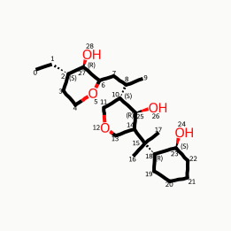 CC[C@H]1CCOC(CC(C)[C@H]2COCC(C(C)(C)[C@H]3CCCC[C@@H]3O)[C@@H]2O)[C@@H]1O